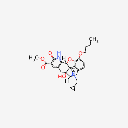 CCCCOc1ccc2c3c1O[C@H]1c4[nH]c(=O)c(C(=O)OC)cc4C[C@@]4(O)[C@@H](C2)N(CC2CC2)CC[C@]314